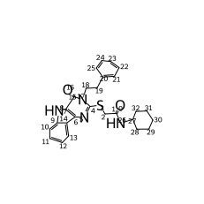 O=C(CSc1nc2c([nH]c3ccccc32)c(=O)n1CCc1ccccc1)NC1CCCCC1